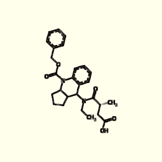 CCN(C(=O)[C@H](C)CC(=O)O)C1c2ccccc2N(C(=O)OCc2ccccc2)C2CCCC12